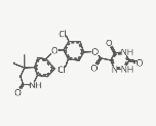 CC1(C)CC(=O)Nc2ccc(Oc3c(Cl)cc(OC(=O)c4n[nH]c(=O)[nH]c4=O)cc3Cl)cc21